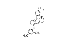 Cc1ccc(SC2=C(/C=C3/CCC[n+]4c3sc3ccc(C)cc34)OCCC2)c(C)c1